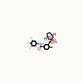 Cc1ccc(C(=O)Nc2cc(F)c(F)c(F)c2)cc1C(F)(F)C(=O)N1[C@@H]2CC[C@H]1CC(O)C2